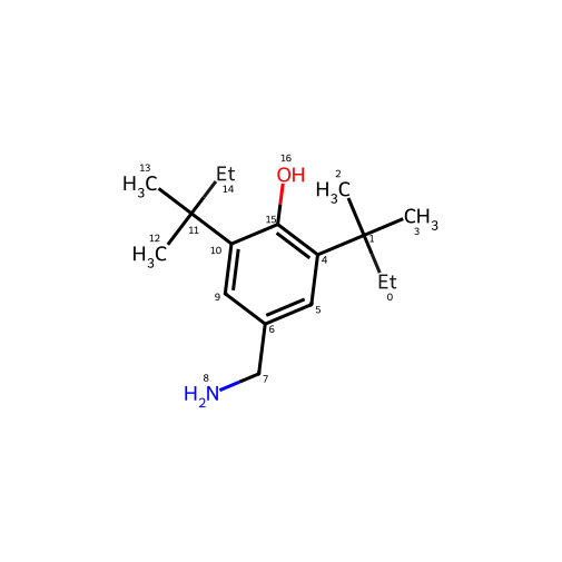 CCC(C)(C)c1cc(CN)cc(C(C)(C)CC)c1O